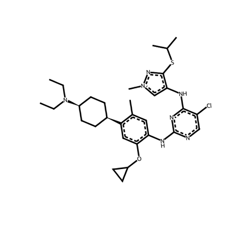 CCN(CC)[C@H]1CC[C@@H](c2cc(OC3CC3)c(Nc3ncc(Cl)c(Nc4cn(C)nc4SC(C)C)n3)cc2C)CC1